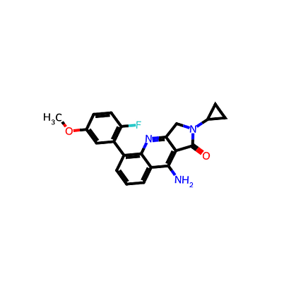 COc1ccc(F)c(-c2cccc3c(N)c4c(nc23)CN(C2CC2)C4=O)c1